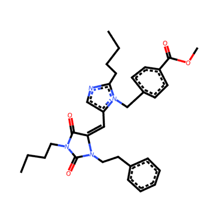 CCCCc1ncc(C=C2C(=O)N(CCCC)C(=O)N2CCc2ccccc2)n1Cc1ccc(C(=O)OC)cc1